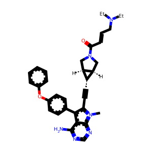 CCN(CC)C/C=C/C(=O)N1C[C@@H]2[C@@H](C#Cc3c(-c4ccc(Oc5ccccc5)cc4)c4c(N)ncnc4n3C)[C@@H]2C1